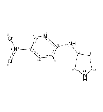 O=[N+]([O-])c1cnc(NC2CCNC2)nc1